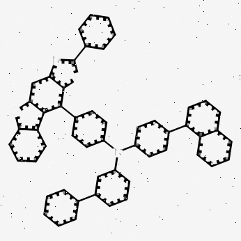 c1ccc(-c2cccc(N(c3ccc(-c4cccc5ccccc45)cc3)c3ccc(-c4c5oc(-c6ccccc6)nc5cc5oc6ccccc6c45)cc3)c2)cc1